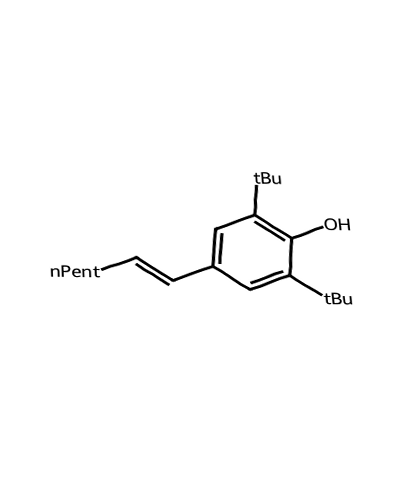 CCCCC/C=C/c1cc(C(C)(C)C)c(O)c(C(C)(C)C)c1